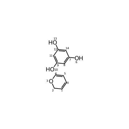 C1=CCOC=C1.Oc1cc(O)cc(O)c1